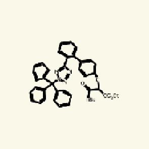 CCCCC(=O)C(Cc1ccc(-c2ccccc2-c2nnn(C(c3ccccc3)(c3ccccc3)c3ccccc3)n2)cc1)C(=O)OCC